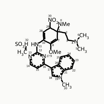 CNC1(CCN(C)C)C=C(OC)C(Nc2nccc(-c3cn(C)c4ccccc34)n2)=CC1[N+](=O)[O-].CS(=O)(=O)O